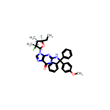 CC[C@@]1(F)O[C@@H](n2cnc3c(=O)[nH]c(NC(c4ccccc4)(c4ccccc4)c4ccc(OC)cc4)nc32)[C@](C)(F)[C@@H]1C